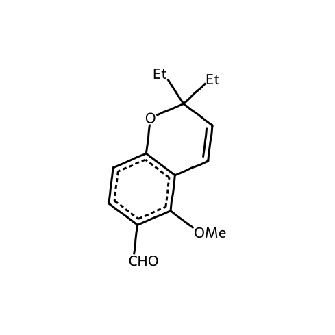 CCC1(CC)C=Cc2c(ccc(C=O)c2OC)O1